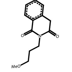 COCCCN1C(=O)Cc2ccccc2C1=O